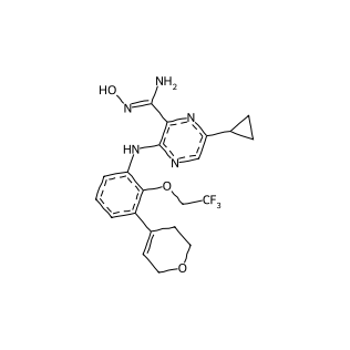 NC(=NO)c1nc(C2CC2)cnc1Nc1cccc(C2=CCOCC2)c1OCC(F)(F)F